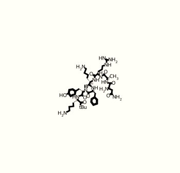 C[C@H](NC(=O)[C@@H](N)CC(N)=O)C(=O)N[C@@H](CCCNC(=N)N)C(=O)N[C@@H](CCCCN)C(=O)N[C@@H](Cc1ccccc1)C(=O)N[C@@H](Cc1ccc(O)cc1)C(=O)N[C@@H](CCCCN)C(=O)C(C)(C)C